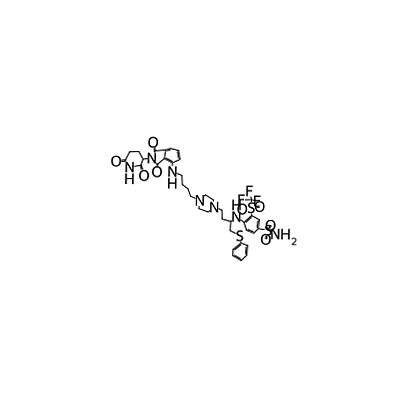 NS(=O)(=O)c1ccc(NC(CCN2CCN(CCCCNc3cccc4c3C(=O)N(C3CCC(=O)NC3=O)C4=O)CC2)CSc2ccccc2)c(S(=O)(=O)C(F)(F)F)c1